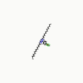 CCCCCCCCCCCCCC[N+](C)(C)C(c1ccc(C)cc1)[N+](C)(C)CCCCCCCCCCCCCC.[Cl-].[Cl-]